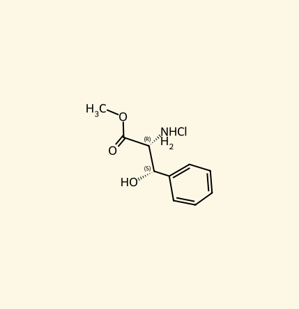 COC(=O)[C@H](N)[C@@H](O)c1ccccc1.Cl